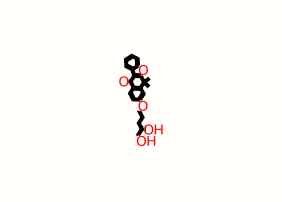 CC1(C)c2cc(OCCC[C@H](O)CO)ccc2C(=O)c2c1oc1ccccc21